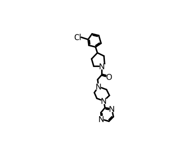 O=C(CN1CCN(c2cnccn2)CC1)N1CCC(c2cccc(Cl)c2)CC1